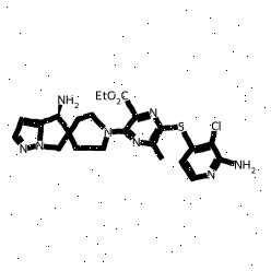 CCOC(=O)c1nc(Sc2ccnc(N)c2Cl)c(C)nc1N1CCC2(CC1)Cn1nccc1[C@H]2N